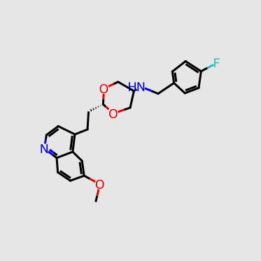 COc1ccc2nccc(CC[C@H]3OC[C@H](NCc4ccc(F)cc4)CO3)c2c1